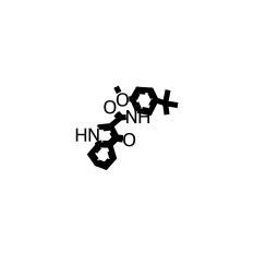 COc1ccc(C(C)(C)C)cc1NC(=O)c1c[nH]c2ccccc2c1=O